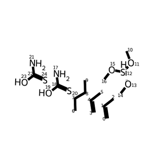 C=CC.C=CC.CCCC.CO[SiH](OC)OC.NC(O)=S.NC(O)=S